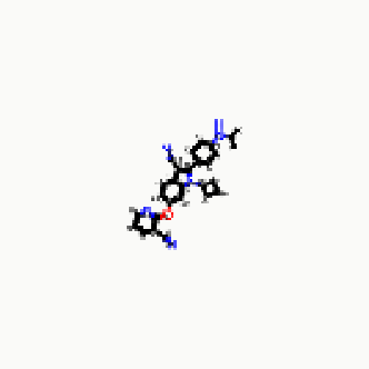 CC(C)Nc1ccc(-c2c(C#N)c3ccc(Oc4ncccc4C#N)cc3n2C2CCC2)cc1